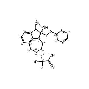 O=C(O)C(F)(F)F.OC1(CCc2ccccc2)C(C(F)(F)F)c2cccc3c2N1CCNC3